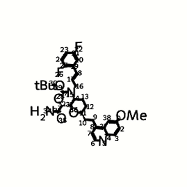 COc1ccc2nccc(CC[C@@H]3CC[C@@H](N(CC=Cc4cc(F)ccc4F)C(=O)OC(C)(C)C)[C@@H](CC(N)=O)O3)c2c1